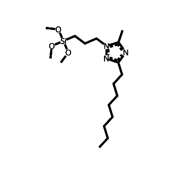 CCCCCCCCc1nc(C)n(CCC[Si](OC)(OC)OC)n1